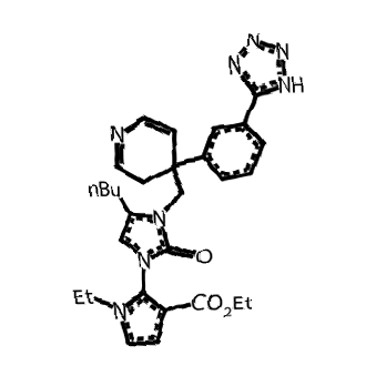 CCCCc1cn(-c2c(C(=O)OCC)ccn2CC)c(=O)n1CC1(c2cccc(-c3nnn[nH]3)c2)C=CN=CC1